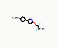 CCCCCCCCc1ccc(-c2ccc(OC[C@@H](F)[C@H](F)CCC)nc2)cc1